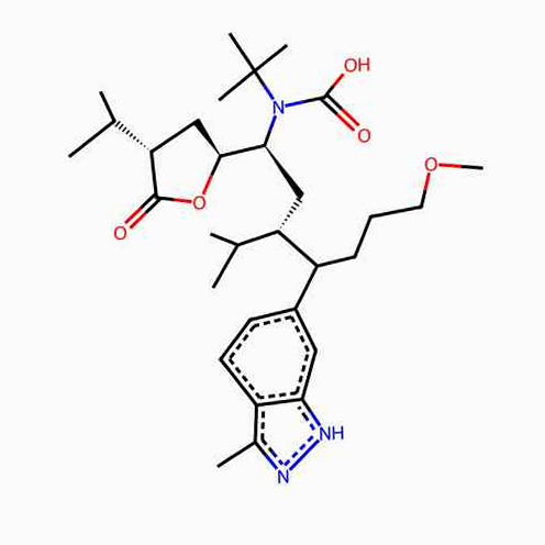 COCCCC(c1ccc2c(C)n[nH]c2c1)[C@@H](C[C@@H]([C@@H]1C[C@@H](C(C)C)C(=O)O1)N(C(=O)O)C(C)(C)C)C(C)C